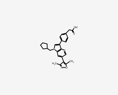 Cc1noc(C)c1-c1cnc2c(-c3ccc(CC(=O)O)cc3)cn(CC3CCCC3)c2c1